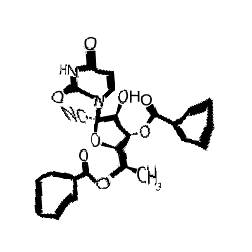 C[C@@H](OC(=O)c1ccccc1)[C@H]1O[C@@](C#N)(n2ccc(=O)[nH]c2=O)[C@@H](O)[C@@H]1OC(=O)c1ccccc1